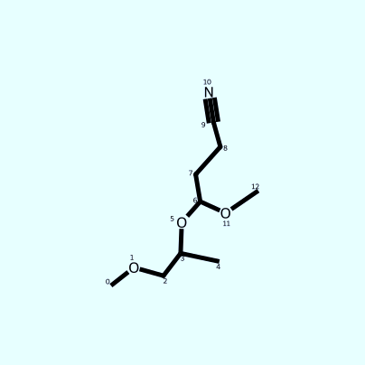 COCC(C)OC(CCC#N)OC